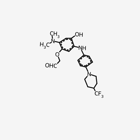 CN(C)c1cc(O)c(Nc2ccc(N3CCC(C(F)(F)F)CC3)cc2)cc1OCC=O